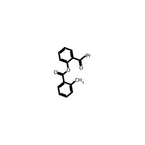 Cc1ccccc1C(=O)Oc1ccccc1C(=O)C(C)C